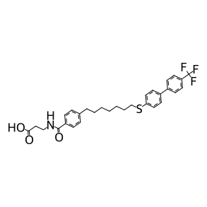 O=C(O)CCNC(=O)c1ccc(CCCCCCCSc2ccc(-c3ccc(C(F)(F)F)cc3)cc2)cc1